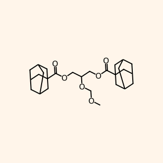 COCOC(COC(=O)C12CC3CC(CC(C3)C1)C2)COC(=O)C12CC3CC(CC(C3)C1)C2